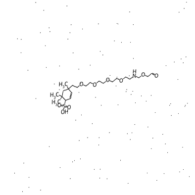 CC1(CCOCCOCCOCCOCCNCOCC=O)C=CC(S(=O)(=O)O)C(C)(C)C1